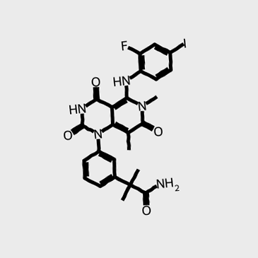 Cc1c(=O)n(C)c(Nc2ccc(I)cc2F)c2c(=O)[nH]c(=O)n(-c3cccc(C(C)(C)C(N)=O)c3)c12